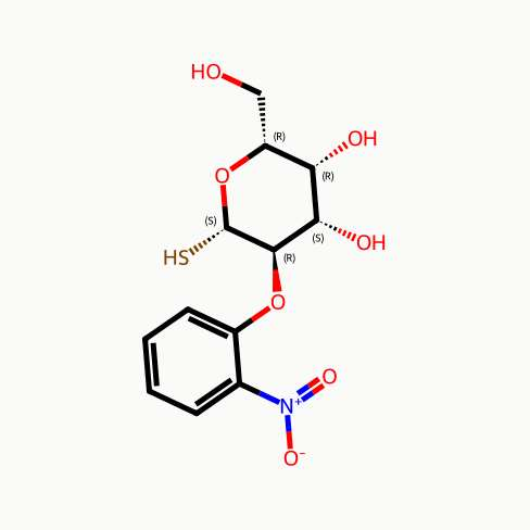 O=[N+]([O-])c1ccccc1O[C@@H]1[C@@H](O)[C@@H](O)[C@@H](CO)O[C@H]1S